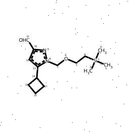 C[Si](C)(C)CCOCn1nc(C=O)cc1C1CCC1